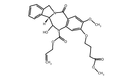 C=CCOC(=O)N1c2cc(OCCCC(=O)OC)c(OC)cc2C(=O)N2Cc3ccccc3[C@H]2C1O